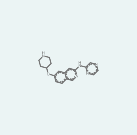 c1cnc(Nc2cc3cc(OC4CCNCC4)ccc3cn2)cn1